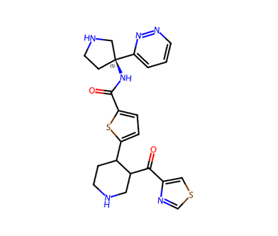 O=C(N[C@@]1(c2cccnn2)CCNC1)c1ccc(C2CCNCC2C(=O)c2cscn2)s1